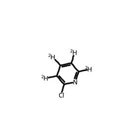 [2H]c1nc(Cl)c([2H])c([2H])c1[2H]